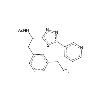 CC(=O)NC(Cc1cccc(CN)c1)c1nnc(-c2cccnc2)s1